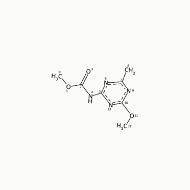 COC(=O)Nc1nc(C)nc(OC)n1